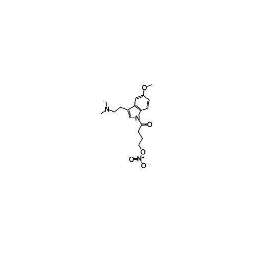 COc1ccc2c(c1)c(CCN(C)C)cn2C(=O)CCCO[N+](=O)[O-]